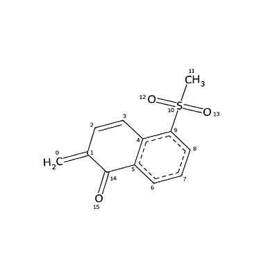 C=C1C=Cc2c(cccc2S(C)(=O)=O)C1=O